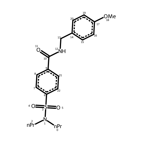 CCCN(CCC)S(=O)(=O)c1ccc(C(=O)NCc2ccc(OC)cc2)cc1